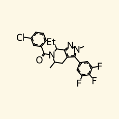 CCC1c2nn(C)c(-c3cc(F)c(F)c(F)c3)c2CC(C)N1C(=O)c1cccc(Cl)c1